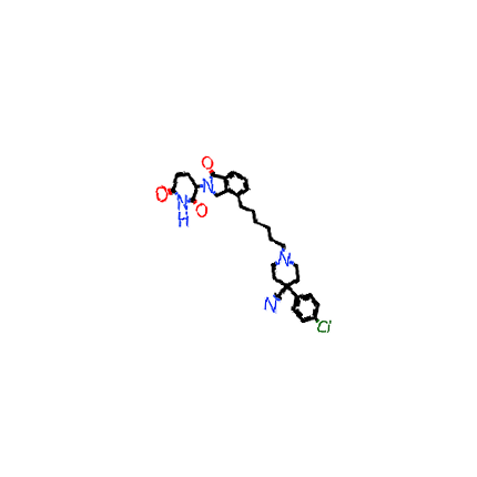 N#CC1(c2ccc(Cl)cc2)CCN(CCCCCCc2cccc3c2CN(C2CCC(=O)NC2=O)C3=O)CC1